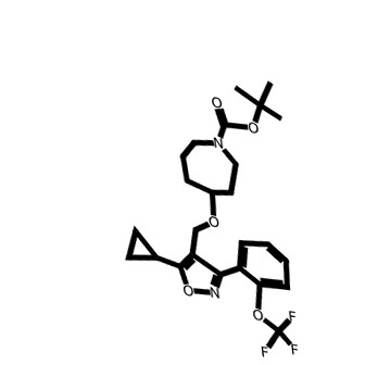 CC(C)(C)OC(=O)N1CCCC(OCc2c(-c3ccccc3OC(F)(F)F)noc2C2CC2)CC1